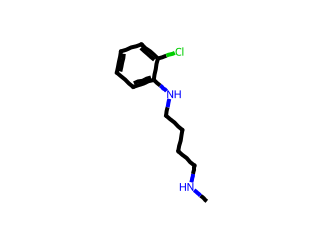 CNCCCCNc1ccccc1Cl